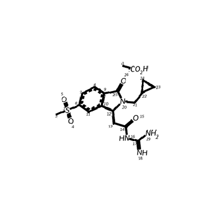 CC(=O)O.CS(=O)(=O)c1ccc2c(c1)C(CC(=O)NC(=N)N)N(CC1CC1)C2=O